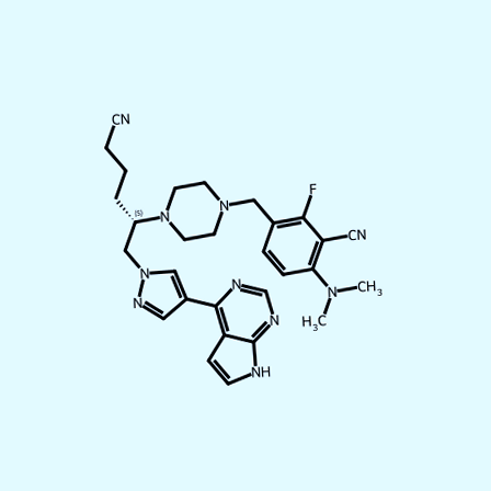 CN(C)c1ccc(CN2CCN([C@@H](CCCC#N)Cn3cc(-c4ncnc5[nH]ccc45)cn3)CC2)c(F)c1C#N